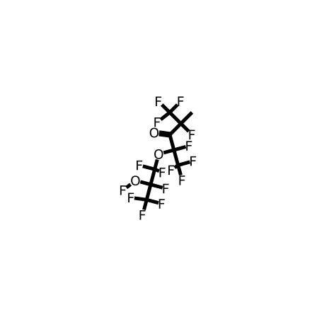 CC(F)(C(=O)C(F)(OC(F)(F)C(F)(OF)C(F)(F)F)C(F)(F)F)C(F)(F)F